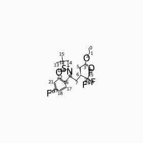 CCOC(=O)C[C@H](CC(=N[S@+]([O-])C(C)(C)C)c1ccc(F)cc1)C(F)(F)F